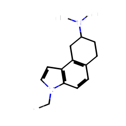 CCCN(CCC)C1CCc2ccc3c(ccn3CC(F)(F)F)c2C1